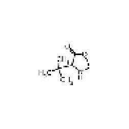 CC(C)(C)C1NCOC1=O